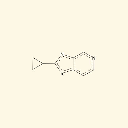 c1cc2sc(C3CC3)nc2cn1